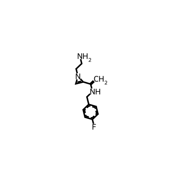 C=C(NCc1ccc(F)cc1)C1=CN1CCN